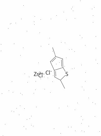 CC1=CC2=CC(C)SC2=C1.[Cl-].[Cl-].[Zr+2]